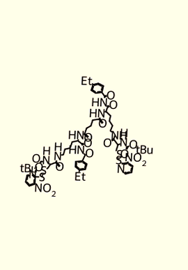 CCc1ccc(C(=O)NC(=O)C(CCCCNC(=O)C(CSSc2ncccc2[N+](=O)[O-])NC(=O)OC(C)(C)C)NC(=O)CCCC(=O)NC(CCCCNC(=O)C(CSSc2ncccc2[N+](=O)[O-])NC(=O)OC(C)(C)C)C(=O)NC(=O)c2ccc(CC)cc2)cc1